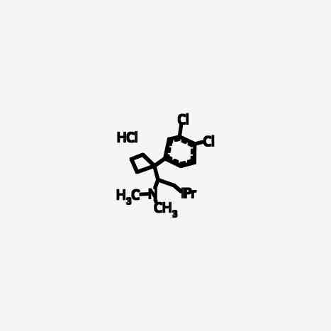 CC(C)CC(N(C)C)C1(c2ccc(Cl)c(Cl)c2)CCC1.Cl